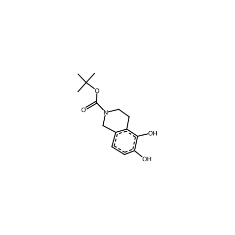 CC(C)(C)OC(=O)N1CCc2c(ccc(O)c2O)C1